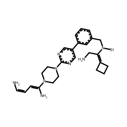 CCN(Cc1cccc(-c2cnc(N3CCN(/C(N)=C/C=C\N)CC3)nc2)c1)C(CN)=C1CCC1